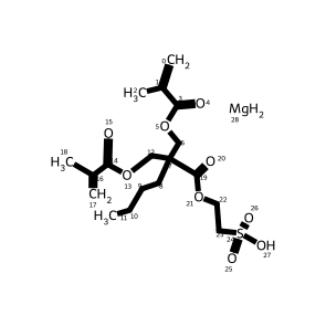 C=C(C)C(=O)OCC(CCCC)(COC(=O)C(=C)C)C(=O)OCCS(=O)(=O)O.[MgH2]